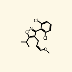 CO/C=C\Cc1c(-c2c(Cl)cccc2Cl)noc1C(C)C